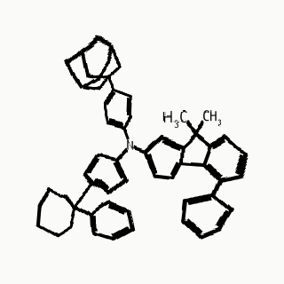 CC1(C)c2cc(N(c3ccc(C45CC6CC(CC(C6)C4)C5)cc3)c3ccc(C4(c5ccccc5)CCCCCC4)cc3)ccc2-c2c(-c3ccccc3)cccc21